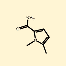 Cc1ccc(C(N)=O)n1C